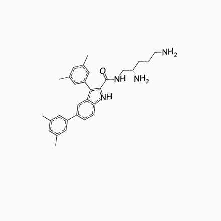 Cc1cc(C)cc(-c2ccc3[nH]c(C(=O)NC[C@@H](N)CCCN)c(-c4cc(C)cc(C)c4)c3c2)c1